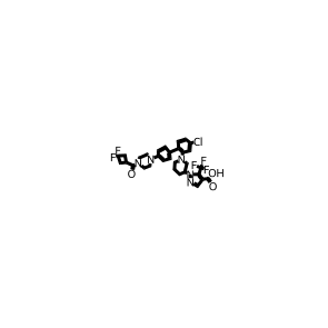 O=C(O)c1cnn(C2CCCN(c3cc(Cl)ccc3-c3ccc(N4CCN(C(=O)C5CC(F)(F)C5)CC4)cc3)C2)c1C(F)(F)F